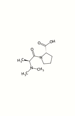 C[C@@H](C(=O)N1CCC[C@H]1C(=O)O)N(C)C